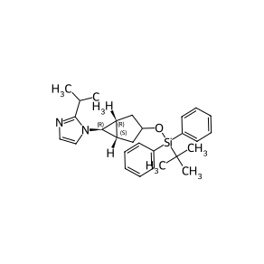 CC(C)c1nccn1[C@H]1[C@@H]2CC(O[Si](c3ccccc3)(c3ccccc3)C(C)(C)C)C[C@@H]21